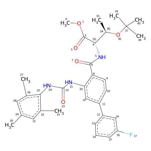 COC(=O)[C@@H](NC(=O)c1ccc(-c2cccc(F)c2)cc1NC(=O)Nc1c(C)cc(C)cc1C)[C@@H](C)OC(C)(C)C